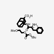 COCCOC(=O)OC(C)(C)C.N[C@@H](Cc1ccccc1)C(=O)NC12CC3CC(C1)CC(C(=O)O)(C3)C2